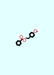 COc1ccc(CCOC(=O)c2ccccc2)cc1